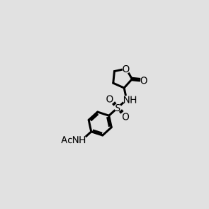 CC(=O)Nc1ccc(S(=O)(=O)NC2CCOC2=O)cc1